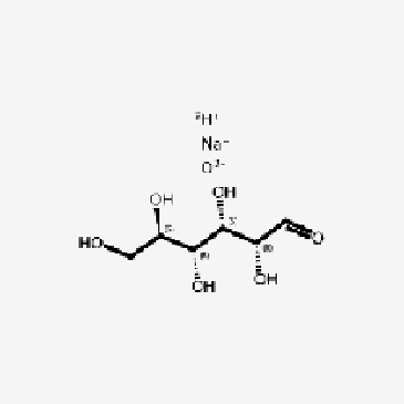 O=C[C@H](O)[C@@H](O)[C@H](O)[C@H](O)CO.[2H+].[Na+].[O-2]